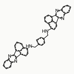 c1ccc2nc3c(nc2c1)-c1cccc2c(NCc4ccc(CNc5ccc6c7c(cccc57)-c5nc7ccccc7nc5-6)cc4)ccc-3c12